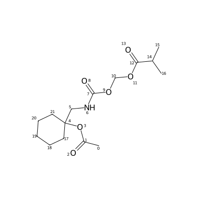 CC(=O)OC1(CNC(=O)OCOC(=O)C(C)C)CCCCC1